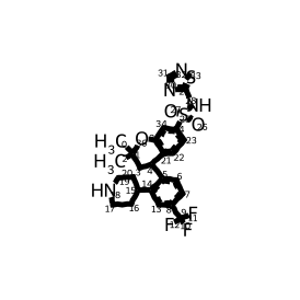 CC1(C)CC(c2ccc(C(F)(F)F)cc2C2CCNCC2)c2ccc(S(=O)(=O)Nc3ncns3)cc2O1